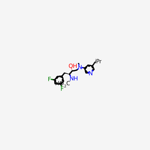 CC(C)c1cncc(N(C)C[C@@H](O)[C@H](Cc2cc(F)cc(F)c2)NC(=O)O)c1